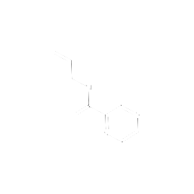 C=CCNC(=O)c1cnccn1